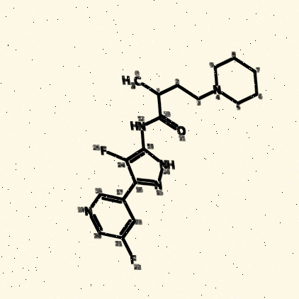 CC(CCN1CCCCC1)C(=O)Nc1[nH]nc(-c2cncc(F)c2)c1F